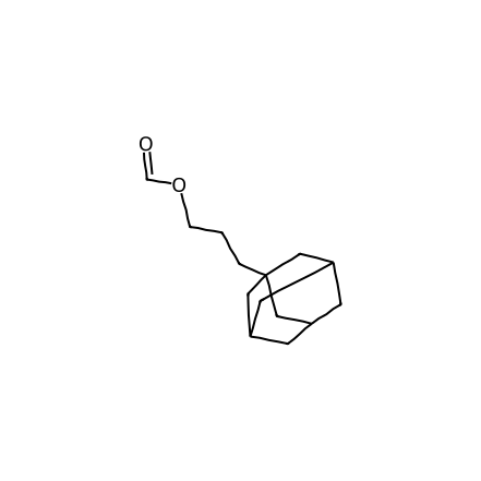 O=COCCCC12CC3CC(CC(C3)C1)C2